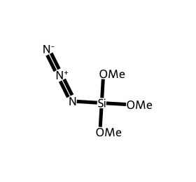 CO[Si](N=[N+]=[N-])(OC)OC